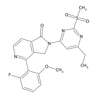 CCc1cc(N2Cc3c(ccnc3-c3c(F)cccc3OC)C2=O)nc(S(C)(=O)=O)n1